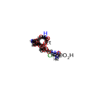 CC[C@@H]1OC(=O)[C@H](C)[C@H](O[C@@H]2C[C@@](C)(OC)[C@H](OC(=O)CCOCCNc3cc4c(=O)c(C(=O)O)cn(C5CC5)c4cc3Cl)[C@H](C)O2)[C@@H](C)[C@@H]2O[C@@H]3O[C@H](C)C[C@H](N(C)C)[C@@H]3OO[C@@]2(C)C[C@H](C)C(=O)[C@H](C)[C@H]2NC(=O)[C@@]23O[C@@]13C